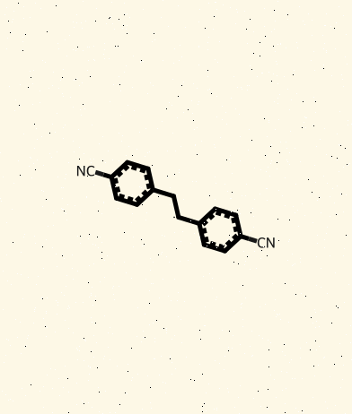 N#Cc1ccc([CH]Cc2ccc(C#N)cc2)cc1